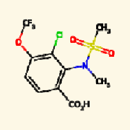 CN(c1c(C(=O)O)ccc(OC(F)(F)F)c1Cl)S(C)(=O)=O